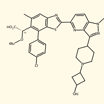 Cc1cc2nc(-c3ccc4c(n3)c(C3CCN(C5CC(O)C5)CC3)nn4C)sc2c(-c2ccc(Cl)cc2)c1[C@H](OC(C)(C)C)C(=O)O